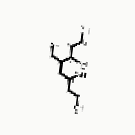 OCCC(S)CC(CS)C(S)CCS